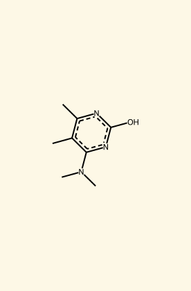 Cc1nc(O)nc(N(C)C)c1C